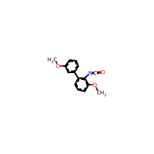 COc1cccc(-c2cccc(OC)c2N=C=O)c1